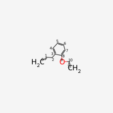 C=CCc1ccccc1OC=C